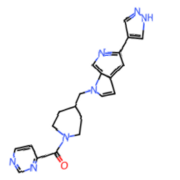 O=C(c1ccncn1)N1CCC(Cn2ccc3cc(-c4cn[nH]c4)ncc32)CC1